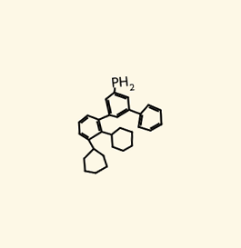 Pc1cc(-c2ccccc2)cc(-c2cccc(C3CCCCC3)c2C2CCCCC2)c1